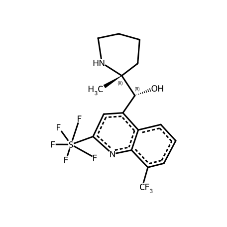 C[C@]1([C@H](O)c2cc(S(F)(F)(F)(F)F)nc3c(C(F)(F)F)cccc23)CCCCN1